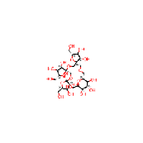 OCC1O[C@H](COC[C@]2(CO[C@@]3(CO[C@]4(CO)O[C@H](CO)C(O)[C@H]4O)O[C@H](CO)C(O)[C@H]3O)O[C@H](CO)C(O)[C@H]2O)C(O)[C@H](O)[C@@H]1O